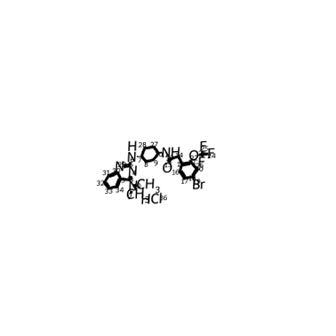 CN(C)c1nc(N[C@H]2CC[C@@H](NC(=O)Cc3ccc(Br)cc3OC(F)(F)F)CC2)nc2ccccc12.Cl